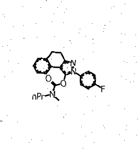 CCCN(C)C(=O)Oc1c2c(nn1-c1ccc(F)cc1)CCc1ccccc1-2